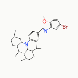 COc1ccc(Br)cc1N=Cc1ccc(N(C2CC(C)CCC2C(C)C)C2CC(C)CCC2C(C)C)cc1